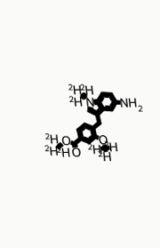 [2H]C([2H])([2H])OC(=O)c1ccc(Cc2cn(C([2H])([2H])[2H])c3ccc(N)cc23)c(OC([2H])([2H])[2H])c1